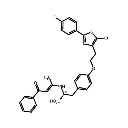 CCc1sc(-c2ccc(F)cc2)nc1CCOc1ccc(C[C@H](N/C(=C/C(=O)c2ccccc2)C(F)(F)F)C(=O)O)cc1